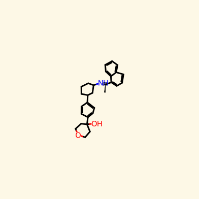 C[C@@H](NC1CCCC(c2ccc(C3(O)CCOCC3)cc2)C1)c1cccc2ccccc12